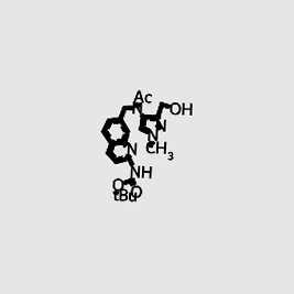 CC(=O)N(Cc1ccc2ccc(NC(=O)OC(C)(C)C)nc2c1)c1cn(C)nc1CO